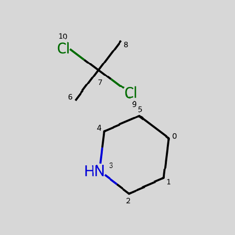 C1CCNCC1.CC(C)(Cl)Cl